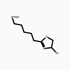 CCCCCCCCCCCCC1=NC(CC)CO1